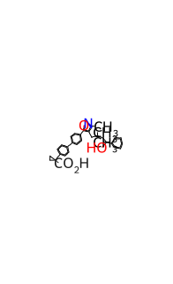 Cc1noc(-c2ccc(-c3ccc(C4(C(=O)O)CC4)cc3)cc2)c1CC(C)(C)CC(O)c1ccccc1